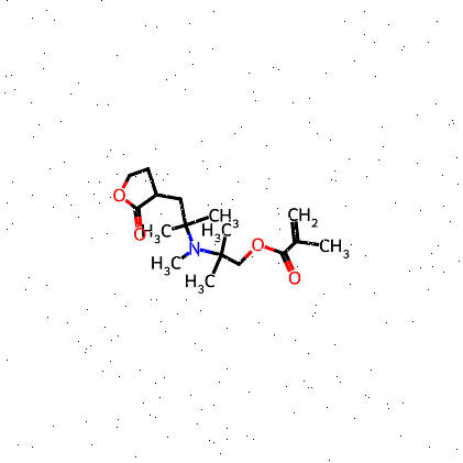 C=C(C)C(=O)OCC(C)(C)N(C)C(C)(C)CC1CCOC1=O